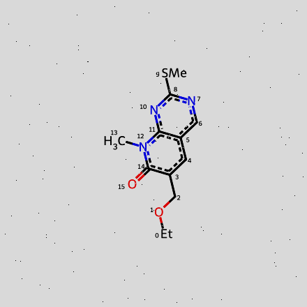 CCOCc1cc2cnc(SC)nc2n(C)c1=O